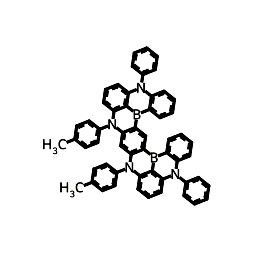 Cc1ccc(N2c3cc4c(cc3B3c5ccccc5N(c5ccccc5)c5cccc2c53)B2c3ccccc3N(c3ccccc3)c3cccc(c32)N4c2ccc(C)cc2)cc1